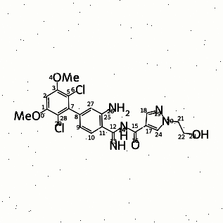 COc1cc(OC)c(Cl)c(-c2ccc(C(=N)NC(=O)c3cnn(CCO)c3)c(N)c2)c1Cl